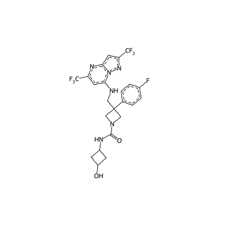 O=C(NC1CC(O)C1)N1CC(CNc2cc(C(F)(F)F)nc3cc(C(F)(F)F)nn23)(c2ccc(F)cc2)C1